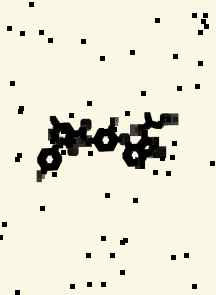 Cc1cc(C(=O)Nc2ccc(Oc3ccnc4[nH]nc(NC(C)CO)c34)c(F)c2)c(=O)n(-c2ccc(F)cc2)n1